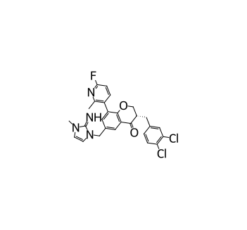 Cc1nc(F)ccc1-c1cc(Cn2ccn(C)c2=N)cc2c1OC[C@H](Cc1ccc(Cl)c(Cl)c1)C2=O